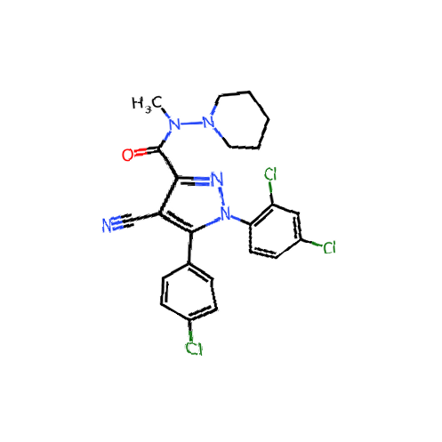 CN(C(=O)c1nn(-c2ccc(Cl)cc2Cl)c(-c2ccc(Cl)cc2)c1C#N)N1CCCCC1